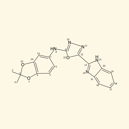 CC1(C)Oc2ccc(Nc3nnc(-c4nc5ccccc5[nH]4)o3)cc2O1